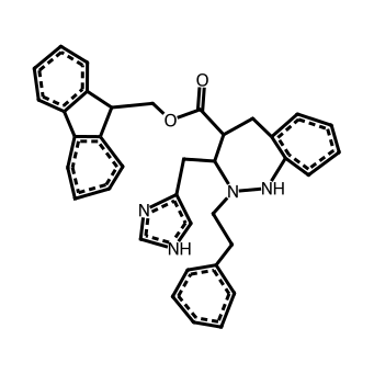 O=C(OCC1c2ccccc2-c2ccccc21)C1Cc2ccccc2NN(CCc2ccccc2)C1Cc1c[nH]cn1